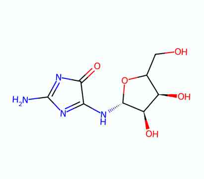 NC1=NC(=O)C(N[C@@H]2OC(CO)[C@@H](O)[C@H]2O)=N1